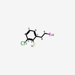 Fc1c(Cl)cccc1CCI